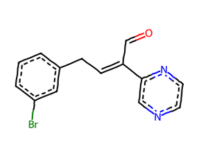 O=CC(=CCc1cccc(Br)c1)c1cnccn1